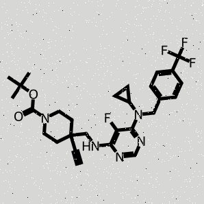 C#CC1(CNc2ncnc(N(Cc3ccc(C(F)(F)F)cc3)C3CC3)c2F)CCN(C(=O)OC(C)(C)C)CC1